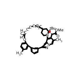 COC(=O)[C@@H](OC(C)(C)C)c1c(C)cn2nc3cc2c1N1CCC(C)(CC1)OCCCC[C@H](C)Oc1ccc(C)cc1-c1cccc-3c1